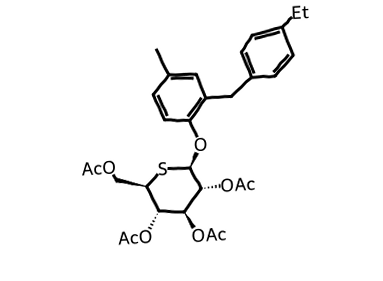 CCc1ccc(Cc2cc(C)ccc2O[C@@H]2S[C@H](COC(C)=O)[C@@H](OC(C)=O)[C@H](OC(C)=O)[C@H]2OC(C)=O)cc1